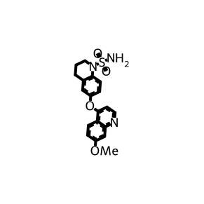 COc1ccc2c(Oc3ccc4c(c3)CCCN4S(N)(=O)=O)ccnc2c1